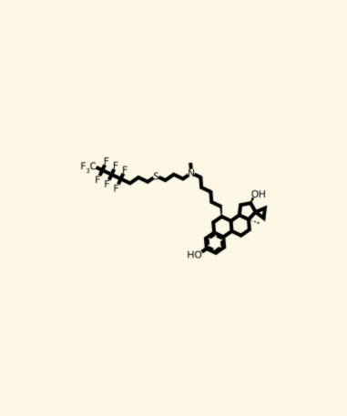 CN(CCCCC[C@@H]1Cc2cc(O)ccc2C2CC[C@@]3(C)C(C[C@@H](O)C34CC4)C21)CCCSCCCC(F)(F)C(F)(F)C(F)(F)C(F)(F)F